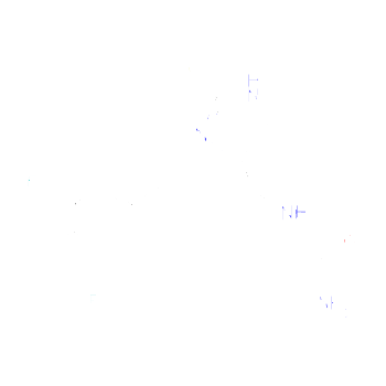 NC(=O)CNCc1c[nH]c(=S)n1C1CCc2c(F)cc(F)cc2C1